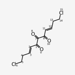 O=C(C=CCCCl)C(=O)C(=O)C=CCCCl